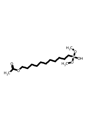 CO[Si](O)(CCCCCCCCCCCOC(C)=O)OC